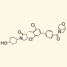 O=C(c1ccc(-c2cc(Cl)c(C[C@@H]3CCN(C4CCC(O)CC4)C3=O)c(Cl)c2)cc1)N1CC2CC1CO2